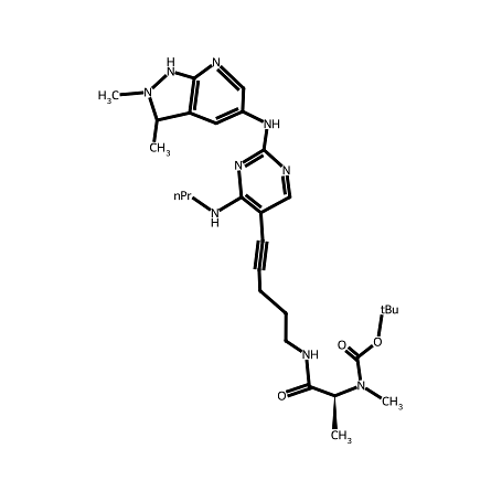 CCCNc1nc(Nc2cnc3c(c2)C(C)N(C)N3)ncc1C#CCCCNC(=O)[C@H](C)N(C)C(=O)OC(C)(C)C